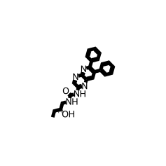 CC[C@@H](O)CNC(=O)Nc1cnc2nc(-c3ccccc3)c(-c3ccccc3)cc2n1